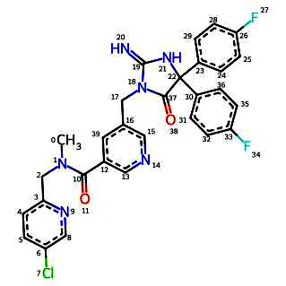 CN(Cc1ccc(Cl)cn1)C(=O)c1cncc(CN2C(=N)NC(c3ccc(F)cc3)(c3ccc(F)cc3)C2=O)c1